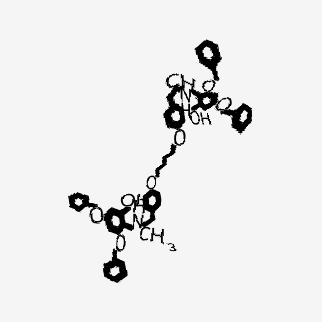 C[C@H](Cc1ccc(OCCCCCCOc2ccc(C[C@@H](C)NCc3c(CO)cc(OCc4ccccc4)cc3OCc3ccccc3)cc2)cc1)NCc1c(CO)cc(OCc2ccccc2)cc1OCc1ccccc1